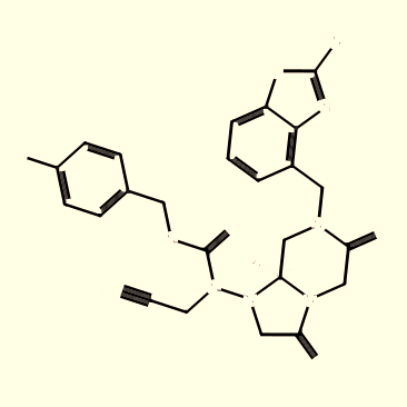 C#CCN(C(=O)NCc1ccc(F)cc1)N1CC(=O)N2CC(=O)N(Cc3cccc4sc(N)nc34)C[C@@H]21